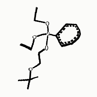 CCO[Si](OCC)(OCCOC(C)(C)C)c1ccccc1